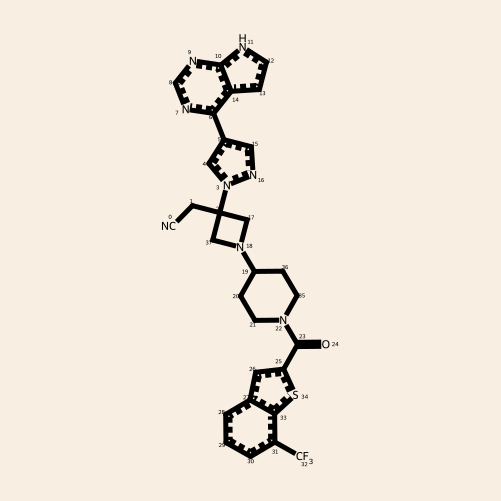 N#CCC1(n2cc(-c3ncnc4[nH]ccc34)cn2)CN(C2CCN(C(=O)c3cc4cccc(C(F)(F)F)c4s3)CC2)C1